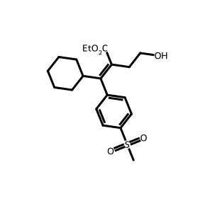 CCOC(=O)C(CCO)=C(c1ccc(S(C)(=O)=O)cc1)C1CCCCC1